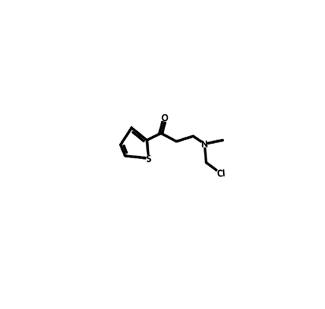 CN(CCl)CCC(=O)c1cccs1